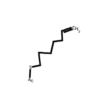 C=CCCCCCSC(C)=O